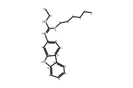 CCCCCCOC(=Nc1ccc2c(c1)oc1ccccc12)OCC